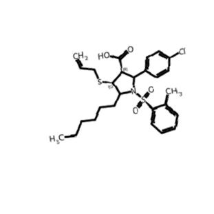 C=CCS[C@@H]1C(CCCCCC)N(S(=O)(=O)c2ccccc2C)C(c2ccc(Cl)cc2)[C@@H]1C(=O)O